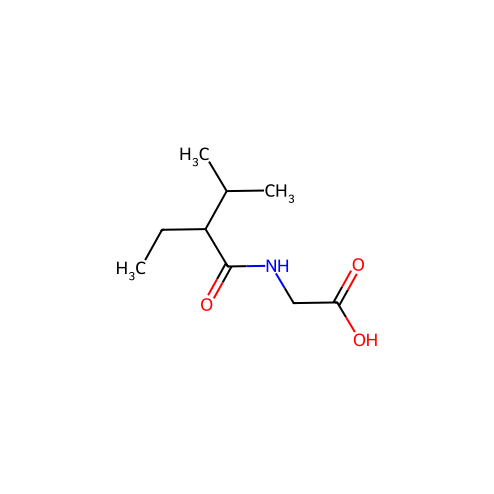 CCC(C(=O)NCC(=O)O)C(C)C